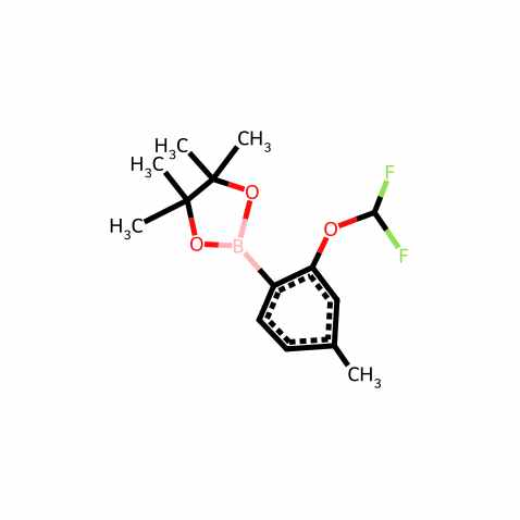 Cc1ccc(B2OC(C)(C)C(C)(C)O2)c(OC(F)F)c1